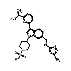 C=C(N)c1cccc(-c2cn(C3CCN(S(=O)(=O)C(C)C)CC3)c3cc(CNc4nnc(N)s4)ccc23)n1